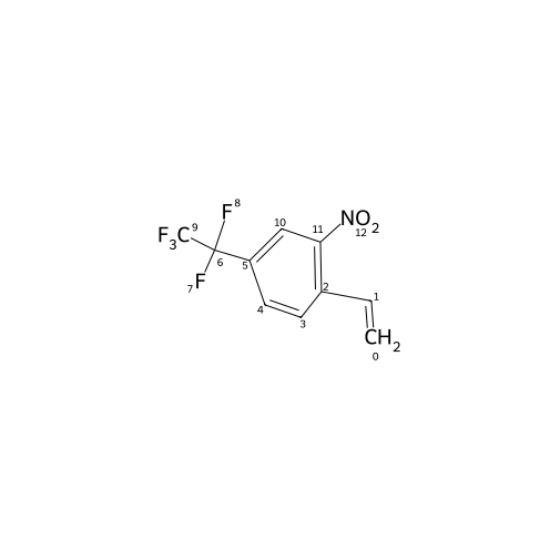 C=Cc1ccc(C(F)(F)C(F)(F)F)cc1[N+](=O)[O-]